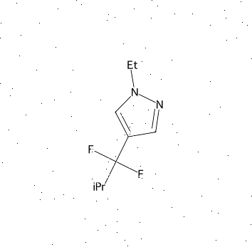 CCn1cc(C(F)(F)C(C)C)cn1